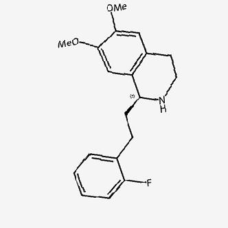 COc1cc2c(cc1OC)[C@H](CCc1ccccc1F)NCC2